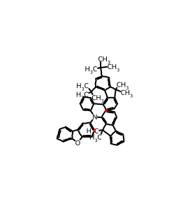 CC(C)(C)c1cc(C(C)(C)C)c2c(c1)C(C)(C)c1cccc(-c3ccccc3N(c3ccc4oc5ccccc5c4c3)c3cccc4c3C(C)(C)c3ccccc3-4)c1-2